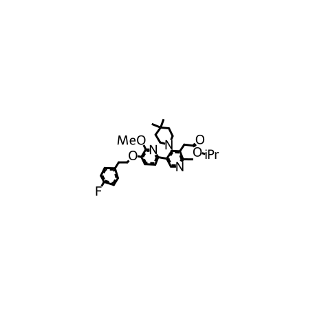 COc1nc(-c2cnc(C)c(CC(=O)OC(C)C)c2N2CCC(C)(C)CC2)ccc1OCCc1ccc(F)cc1